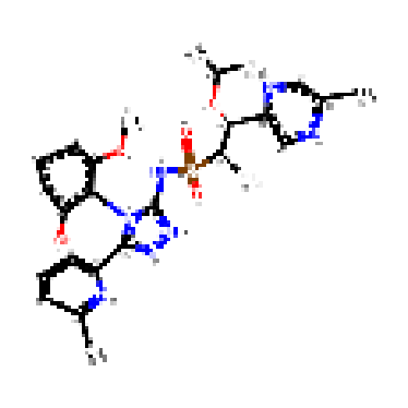 COc1cccc(O)c1-n1c(NS(=O)(=O)[C@H](C)[C@H](OC(C)C)c2cnc(C)cn2)nnc1C1=C=C=CC(C)=N1